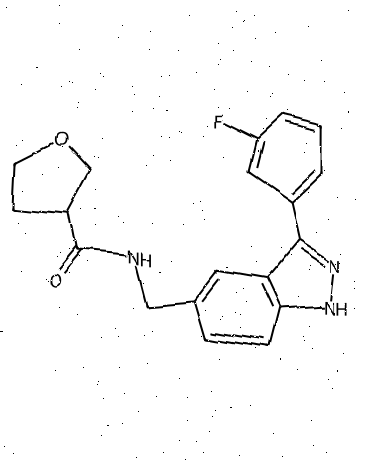 O=C(NCc1ccc2[nH]nc(-c3cccc(F)c3)c2c1)C1CCOC1